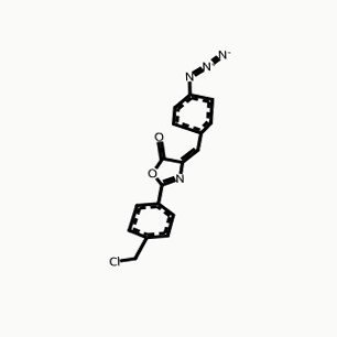 [N-]=[N+]=Nc1ccc(/C=C2/N=C(c3ccc(CCl)cc3)OC2=O)cc1